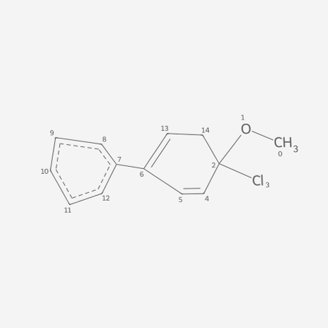 COC1(Cl)C=CC(c2ccccc2)=CC1